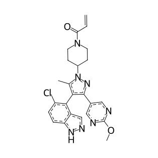 C=CC(=O)N1CCC(n2nc(-c3cnc(OC)nc3)c(-c3c(Cl)ccc4[nH]ncc34)c2C)CC1